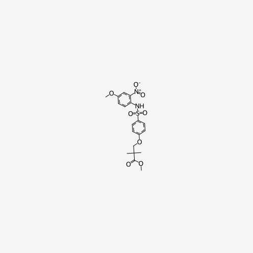 COC(=O)C(C)(C)COc1ccc(S(=O)(=O)Nc2ccc(OC)cc2[N+](=O)[O-])cc1